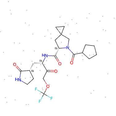 O=C1NCC[C@H]1C[C@H](NC(=O)[C@@H]1CC2(CC2)CN1C(=O)C1CCCC1)C(=O)COC(F)(F)F